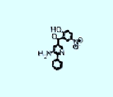 Nc1cc(C(=O)c2cc([N+](=O)[O-])ccc2O)cnc1-c1ccccc1